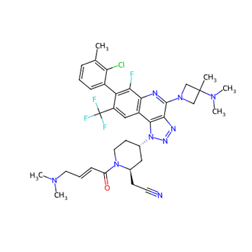 Cc1cccc(-c2c(C(F)(F)F)cc3c(nc(N4CC(C)(N(C)C)C4)c4nnn([C@H]5CCN(C(=O)/C=C/CN(C)C)[C@H](CC#N)C5)c43)c2F)c1Cl